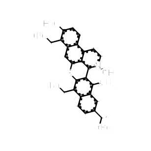 Cc1ccc2c(cc3c4c([n+](C)ccc42)-c2c(c(CC(C)(C)C)c4ccc(CC(C)(C)C)cc4c2C)S3)c1CC(C)(C)C